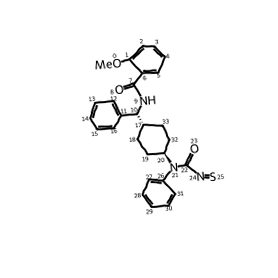 COc1ccccc1C(=O)NC(c1ccccc1)[C@H]1CC[C@H](N(C(=O)N=S)c2ccccc2)CC1